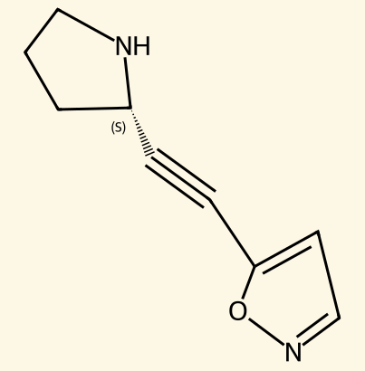 C(#C[C@@H]1CCCN1)c1ccno1